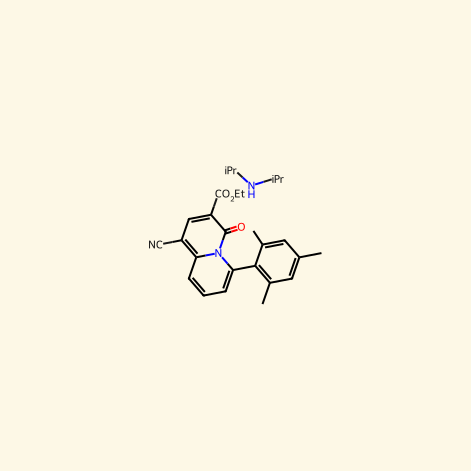 CC(C)NC(C)C.CCOC(=O)c1cc(C#N)c2cccc(-c3c(C)cc(C)cc3C)n2c1=O